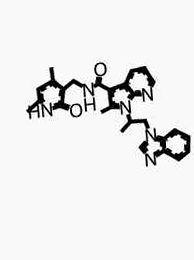 Cc1cc(C)c(CNC(=O)c2c(C)n(C(C)Cn3cnc4ccccc43)c3ncccc23)c(=O)[nH]1